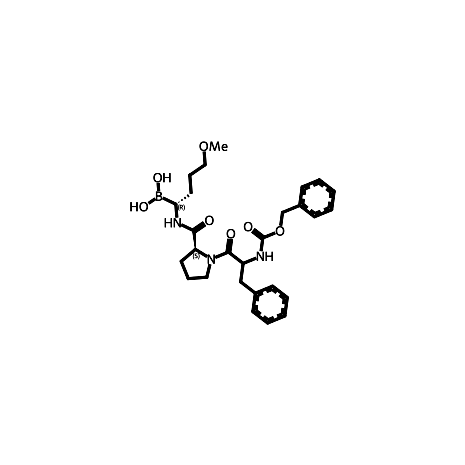 COCCC[C@H](NC(=O)[C@@H]1CCCN1C(=O)C(Cc1ccccc1)NC(=O)OCc1ccccc1)B(O)O